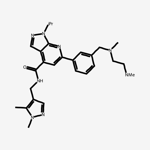 CNCCN(C)Cc1cccc(-c2cc(C(=O)NCc3cnn(C)c3C)c3cnn(C(C)C)c3n2)c1